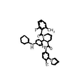 CCc1ccc(NC(=O)C2CCCN(C(=O)c3c(C)cccc3F)C2c2ccc(NC3CCCCC3)cc2)cc1N1CCCC1